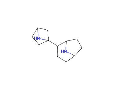 C1CC2NC1CCC2C12CCC(C1)N2